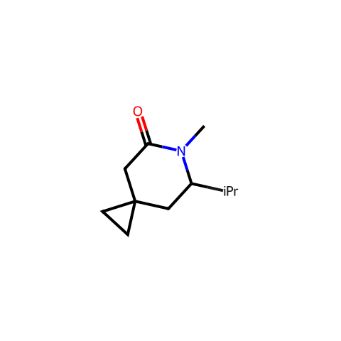 CC(C)C1CC2(CC2)CC(=O)N1C